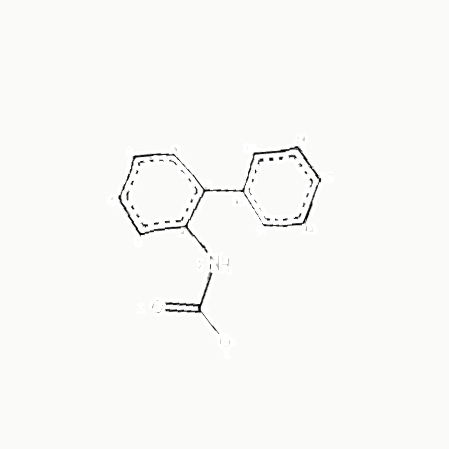 [O]C(=O)Nc1ccccc1-c1ccccc1